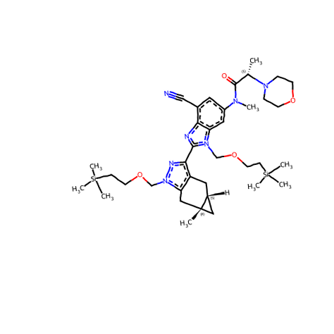 C[C@@H](C(=O)N(C)c1cc(C#N)c2nc(-c3nn(COCC[Si](C)(C)C)c4c3C[C@@H]3C[C@]3(C)C4)n(COCC[Si](C)(C)C)c2c1)N1CCOCC1